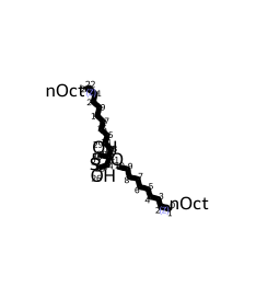 CCCCCCCC/C=C\CCCCCCCCOC(CCCCCCCC/C=C\CCCCCCCC)(CC(O)=S)C(O)=S